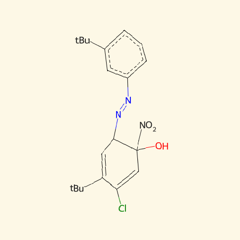 CC(C)(C)C1=CC(N=Nc2cccc(C(C)(C)C)c2)C(O)([N+](=O)[O-])C=C1Cl